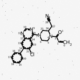 C=CC(=O)N1CCN(c2ncnc3cc(-c4ccccc4)c(Cl)cc23)CC1CC#N